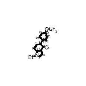 CCn1ccc2c1C=CC(c1ccc(OC(F)(F)F)cc1)C2=O